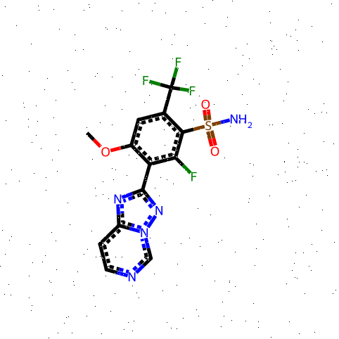 COc1cc(C(F)(F)F)c(S(N)(=O)=O)c(F)c1-c1nc2ccncn2n1